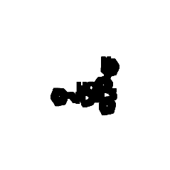 Oc1cc(-c2cccnc2)cc2c1N(C1CCN(CCc3ccccc3)CC1)c1ccccc1S2